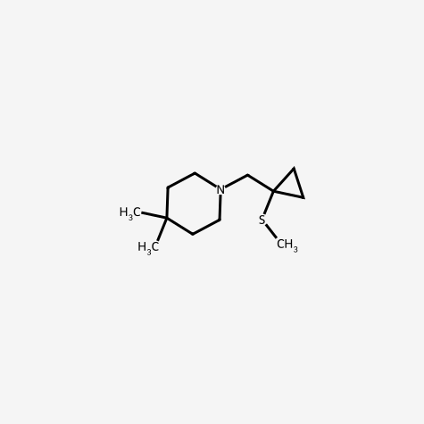 CSC1(CN2CCC(C)(C)CC2)CC1